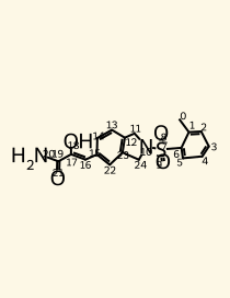 Cc1ccccc1S(=O)(=O)N1Cc2ccc(C=C(O)C(N)=O)cc2C1